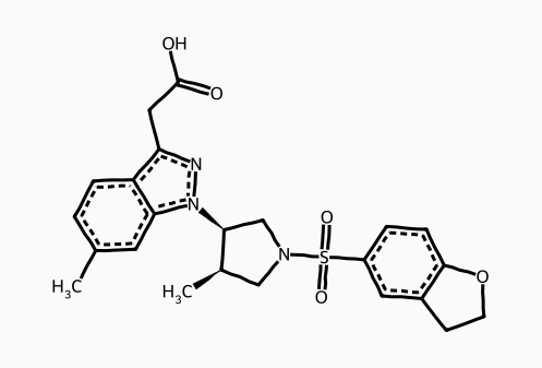 Cc1ccc2c(CC(=O)O)nn([C@H]3CN(S(=O)(=O)c4ccc5c(c4)CCO5)C[C@H]3C)c2c1